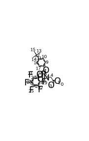 COC(=O)CNP(Oc1ccc(C(C)(C)C)cc1)Oc1c(F)c(F)c(F)c(F)c1F